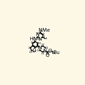 CNc1cc(C)nc(Nc2cc3c(c(N4CCN(C(=O)OC(C)(C)C)CC4)c2)OCC3)n1